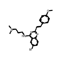 COc1ccc(C=Cc2nc(NCCCN(C)C)c3cc(Br)ccc3n2)cc1